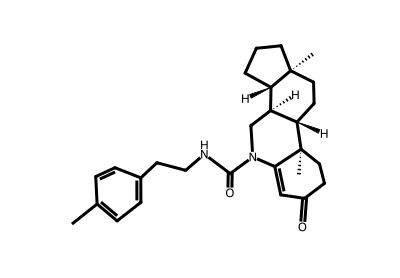 Cc1ccc(CCNC(=O)N2C[C@H]3[C@@H]4CCC[C@@]4(C)CC[C@@H]3[C@@]3(C)CCC(=O)C=C23)cc1